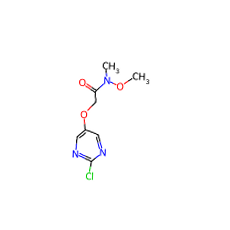 CON(C)C(=O)COc1cnc(Cl)nc1